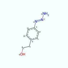 NN=Nc1ccc(CCO)cc1